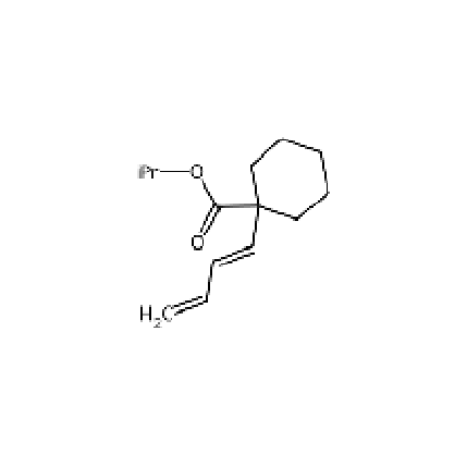 C=C/C=C/C1(C(=O)OC(C)C)CCCCC1